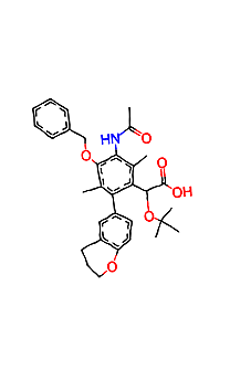 CC(=O)Nc1c(C)c(C(OC(C)(C)C)C(=O)O)c(-c2ccc3c(c2)CCCO3)c(C)c1OCc1ccccc1